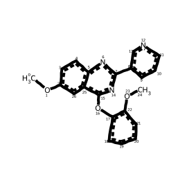 COc1ccc2nc(-c3cccnc3)nc(Oc3ccccc3OC)c2c1